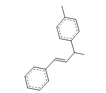 CCC(C=Cc1ccccc1)c1ccc(C)cc1